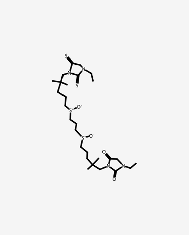 CCN1CC(=O)N(CC(C)(C)CCC[S+]([O-])CCC[S+]([O-])CCCC(C)(C)CN2C(=S)CN(CC)C2=S)C1=O